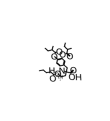 CCCCC(=O)O[C@@H](C)CC(N)(Cc1ccc(OC(=O)C(C)CC)c(OC(=O)C(C)CC)c1)C(=O)O